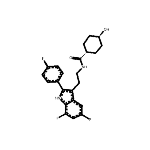 O=C(NCCc1c(-c2ccc(F)cc2)[nH]c2c(F)cc(F)cc12)[C@H]1CC[C@H](O)CC1